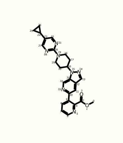 COC(=O)c1ncccc1-c1cc2cnn(C3CCN(c4ncc(C5CC5)cn4)CC3)c2cn1